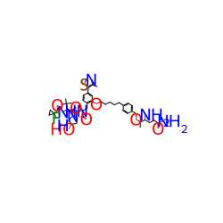 Cc1ncsc1-c1ccc(CNC(=O)[C@@H]2C[C@@H](O)CN2C(=O)[C@@H](NC(=O)C2(F)CC2)C(C)(C)C)c(OCCCCCc2ccc(CO[C@H](C)[C@@H](N)CCC(N)=O)cc2)c1